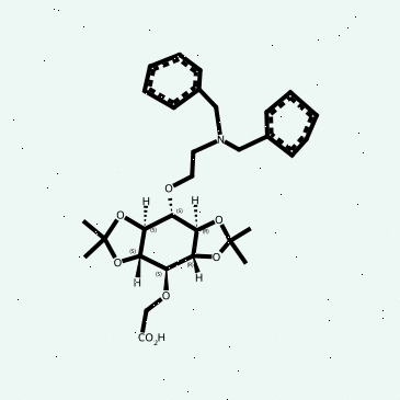 CC1(C)O[C@@H]2[C@@H](OCCN(Cc3ccccc3)Cc3ccccc3)[C@@H]3OC(C)(C)O[C@H]3[C@H](OCC(=O)O)[C@H]2O1